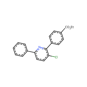 CCOC(=O)c1ccc(-c2nc(-c3ccccc3)ccc2Cl)cc1